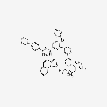 CC1(C)CCC(C)(C)c2cc(-c3cccc(-c4cc(-c5nc(-c6ccc(-c7ccccc7)cc6)nc(-c6cc7ccccc7c7ccccc67)n5)cc5c4oc4ccccc45)c3)ccc21